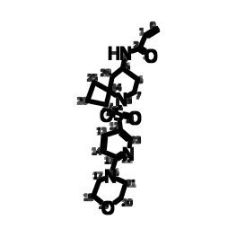 C=CC(=O)NC1CCN(S(=O)(=O)c2ccc(N3CCOCC3)nc2)C2(CCC2)C1